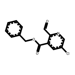 O=Cc1ncc(Cl)cc1C(=O)OCc1ccccc1